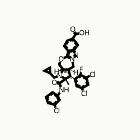 C[C@]1(C(=O)Nc2cccc(Cl)c2)[C@@H](c2cc(Cl)cc(Cl)c2F)[C@@H]2Cn3nc4cc(C(=O)O)ccc4c3OC[C@@H]2N1CC1CC1